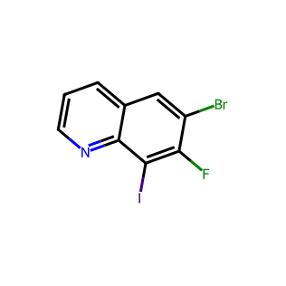 Fc1c(Br)cc2cccnc2c1I